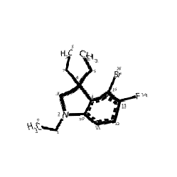 CCN1CC(CC)(CC)c2c1ccc(F)c2Br